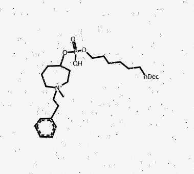 CCCCCCCCCCCCCCCCOP(=O)(O)OC1CCC[N+](C)(CCc2ccccc2)CC1